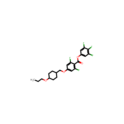 CCCOC1CCC(COc2cc(F)c(C(=O)Oc3cc(F)c(F)c(F)c3)c(F)c2)CC1